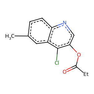 CCC(=O)Oc1cnc2ccc(C)cc2c1Cl